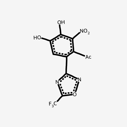 CC(=O)c1c(-c2noc(C(F)(F)F)n2)cc(O)c(O)c1[N+](=O)[O-]